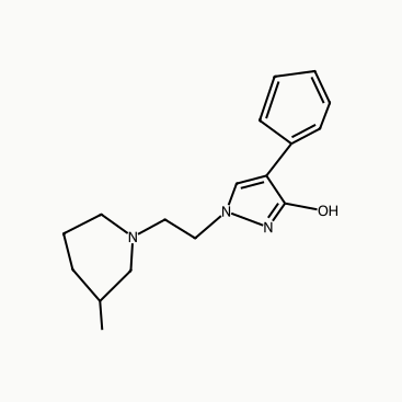 CC1CCCN(CCn2cc(-c3ccccc3)c(O)n2)C1